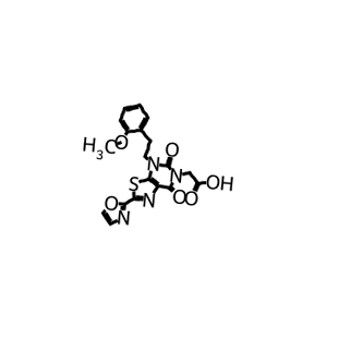 COc1ccccc1CCn1c(=O)n(CC(=O)O)c(=O)c2nc(-c3ncco3)sc21